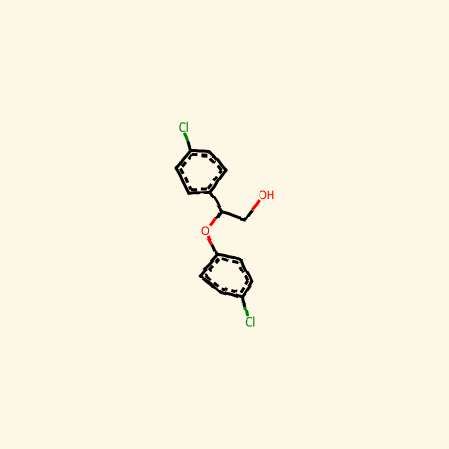 OCC(Oc1ccc(Cl)cc1)c1ccc(Cl)cc1